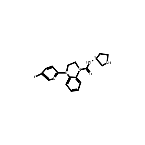 O=C(N[C@@H]1CCNC1)N1CCN(c2ccc(F)cn2)c2ccccc21